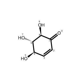 O=C1C=C[C@@H](O)[C@H](O)[C@H]1O